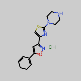 C1=CC(c2cc(-c3csc(N4CCNCC4)n3)no2)=CCC1.Cl